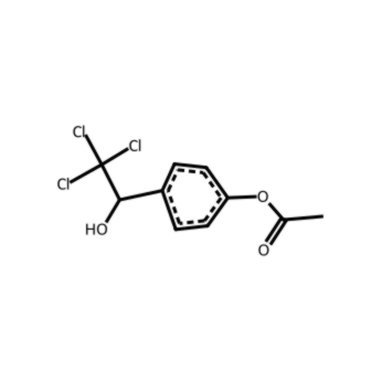 CC(=O)Oc1ccc(C(O)C(Cl)(Cl)Cl)cc1